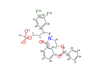 CS(=O)(=O)OCCC(CN(CCOC(=O)c1ccccc1)C(=O)c1ccccc1)c1ccc(F)c(F)c1